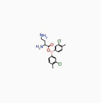 Cc1ccc(B(OC(=O)C(N)CCN)c2ccc(C)c(Cl)c2)cc1Cl